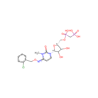 Cn1c(=O)n([C@@H]2O[C@H](COP(=O)(O)CP(=O)(O)O)C(O)C2O)cc/c1=N/OCc1ccccc1Cl